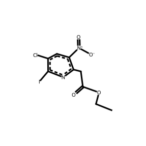 CCOC(=O)Cc1nc(I)c(Cl)cc1[N+](=O)[O-]